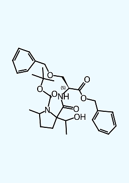 CC1CCC(C(=O)N[C@@H](COCc2ccccc2)C(=O)OCc2ccccc2)(C(C)O)N1C(=O)OC(C)(C)C